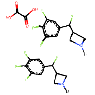 CCN1CC(C(F)c2cc(F)c(F)c(F)c2)C1.CCN1CC(C(F)c2cc(F)c(F)c(F)c2)C1.O=C(O)C(=O)O